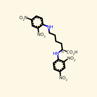 O=C(O)[C@H](CCCCNc1ccc([N+](=O)[O-])cc1[N+](=O)[O-])Nc1ccc([N+](=O)[O-])cc1[N+](=O)[O-]